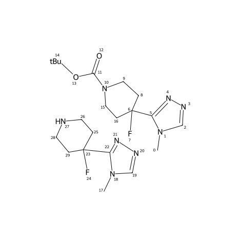 Cn1cnnc1C1(F)CCN(C(=O)OC(C)(C)C)CC1.Cn1cnnc1C1(F)CCNCC1